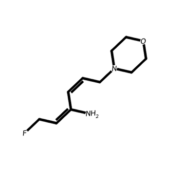 NC(/C=C\CN1CCOCC1)=C/CF